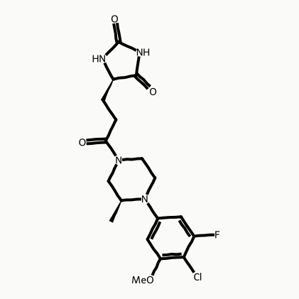 COc1cc(N2CCN(C(=O)CC[C@H]3NC(=O)NC3=O)C[C@@H]2C)cc(F)c1Cl